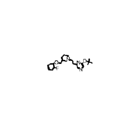 CC(C)(C)Oc1cncc(CCN2CCCC(COc3ccccc3F)C2)n1